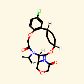 C[C@@H]1C[C@]2(COCC(=O)N2)[C@H]2CO[C@H]3CC[C@H](CC3)c3cc(Cl)ccc3OCC(=O)N12